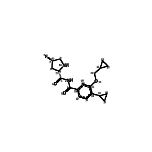 O=C(NC(=O)[C@@H]1C[C@@H](F)CN1)c1ccc(C2CC2)c(OCC2CC2)n1